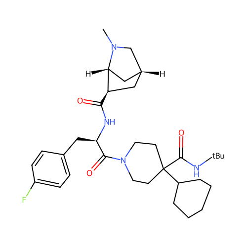 CN1C[C@H]2C[C@@H]1[C@H](C(=O)N[C@H](Cc1ccc(F)cc1)C(=O)N1CCC(C(=O)NC(C)(C)C)(C3CCCCC3)CC1)C2